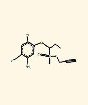 C#CCOP(C)(=O)C(CC)Oc1cc(N)c(F)cc1Cl